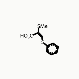 CSC(=CSc1ccccc1)C(=O)O